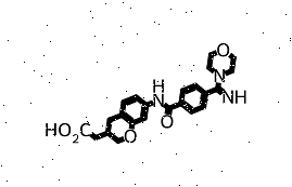 N=C(c1ccc(C(=O)Nc2ccc3c(c2)OCC(CC(=O)O)C3)cc1)N1CCOCC1